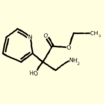 CCOC(=O)C(O)(CN)c1ccccn1